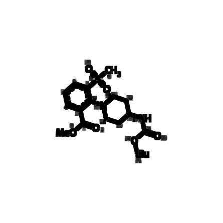 COC(=O)c1cccc(S(C)(=O)=O)c1N1CCC(NC(=O)OC(C)(C)C)CC1